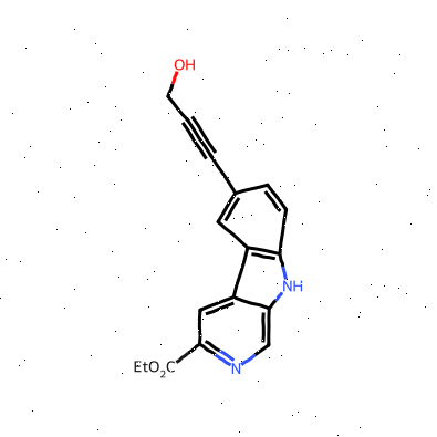 CCOC(=O)c1cc2c(cn1)[nH]c1ccc(C#CCO)cc12